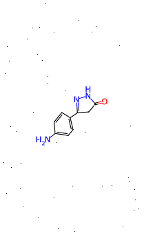 Nc1ccc(C2=NNC(=O)C2)cc1